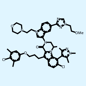 COCCn1cnc(-c2ccc3c(c2)c(N2CC(C)n4c(c(CCCOc5cc(C)c(Cl)c(C)c5)c5ccc(Cl)c(-c6c(C)nn(C)c6C)c54)C2=O)cn3CCN2CCOCC2)n1